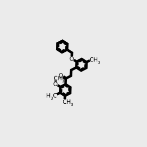 COc1c(C(=O)CCc2ccc(C)cc2OCc2ccccc2)ccc(C)c1C